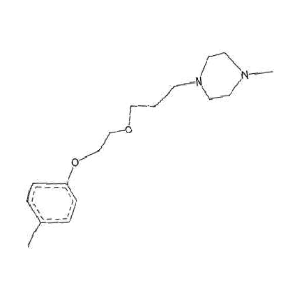 Cc1ccc(OCCOCCCN2CCN(C)CC2)cc1